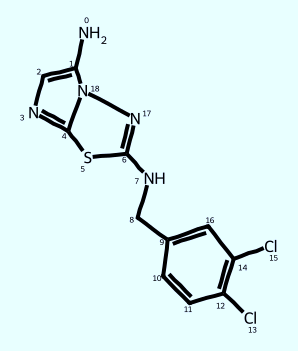 Nc1cnc2sc(NCc3ccc(Cl)c(Cl)c3)nn12